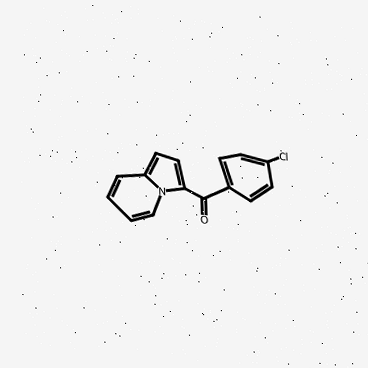 O=C(c1ccc(Cl)cc1)c1ccc2ccccn12